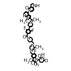 C[C@H]1CN(Cc2cc3c(cc2F)N(C2CCC(=O)NC2=O)C(=O)C3(C)C)CCN1CC1CCN(C(=O)c2cc(F)c(C3=CCN([C@@H](C)c4cc5c(-n6ccc7c(c6=O)CCN7)ccnc5n4C)CC3)c(F)c2)CC1